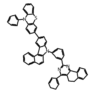 C1=CC(c2nc(-c3cccc(-n4c5ccc(-c6ccc7c(c6)Sc6ccccc6N7c6ccccc6)cc5c5c6ccccc6ccc54)c3)nc3c2CCc2ccccc2-3)=CCC1